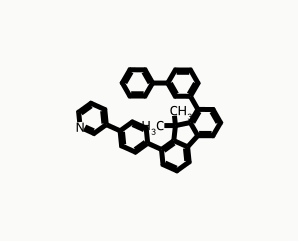 CC1(C)c2c(-c3ccc(-c4cccnc4)cc3)cccc2-c2cccc(-c3cccc(-c4ccccc4)c3)c21